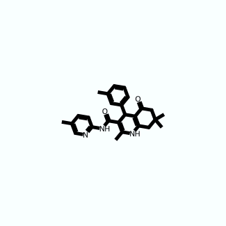 CC1=C(C(=O)Nc2ccc(C)cn2)C(c2cccc(C)c2)C2=C(CC(C)(C)CC2=O)N1